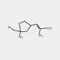 CC(=CC1COC(C)(CC(C)C)O1)C(=O)O